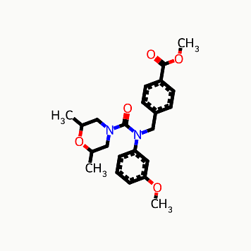 COC(=O)c1ccc(CN(C(=O)N2CC(C)OC(C)C2)c2cccc(OC)c2)cc1